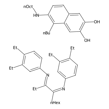 CCCCCCC(=Nc1ccc(CC)c(CC)c1)C(CC)=Nc1ccc(CC)c(CC)c1.CCCCCCCCNc1ccc2cc(O)c(O)cc2c1CCCC